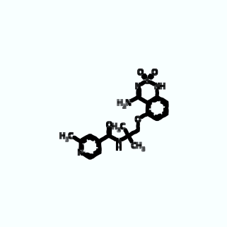 Cc1cc(C(=O)NC(C)(C)COc2cccc3c2C(N)=NS(=O)(=O)N3)ccn1